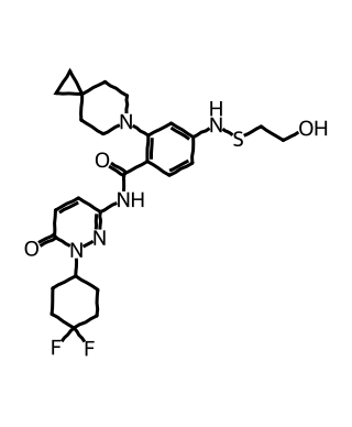 O=C(Nc1ccc(=O)n(C2CCC(F)(F)CC2)n1)c1ccc(NSCCO)cc1N1CCC2(CC1)CC2